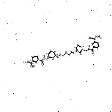 N=C(N)c1cccc(C(=O)NCc2cccc(OCCCCCOc3cccc(CNC(=O)c4cccc(C(=N)N)c4)c3)c2)c1